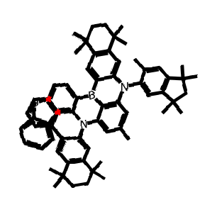 Cc1cc2c3c(c1)N(c1cc4c(cc1-c1ccccc1)C(C)(C)CCC4(C)C)c1c(ccc4oc5ccccc5c14)B3c1cc3c(cc1N2c1cc2c(cc1C)C(C)(C)CC2(C)C)C(C)(C)CCC3(C)C